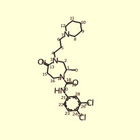 C[C@@H]1CN(CCCN2CCCCC2)C(=O)CCN1C(=O)Nc1ccc(Cl)c(Cl)c1